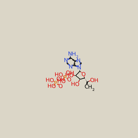 C=C(O)[C@H]1O[C@@H](n2cnc3c(N)ncnc32)[C@H](O)[C@@H]1O.O=P(O)(O)O.O=P(O)(O)O